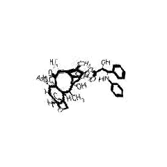 CC(=O)O[C@H]1C[C@H]2OC[C@@]2(C)[C@H]2[C@H](C)[C@]3(O)C[C@H](OC(=O)[C@H](O)[C@@H](Nc4ccccc4)c4ccccc4)C(C)=C([C@@H](C)C(=O)[C@]12C)C3(C)C